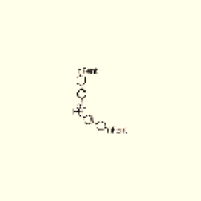 CCCCCC1CCC(c2ccc(COC(F)(F)Cc3ccc(C4CCC(CCCCC)CC4)cc3)cc2)CC1